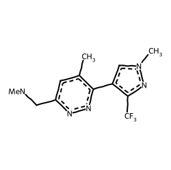 CNCc1cc(C)c(-c2cn(C)nc2C(F)(F)F)nn1